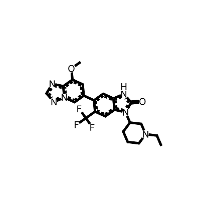 CCN1CCCC(n2c(=O)[nH]c3cc(-c4cc(OC)c5ncnn5c4)c(C(F)(F)F)cc32)C1